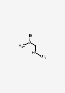 CCB(C)CPC